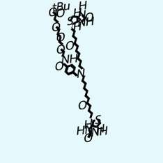 CC(C)(C)OC(=O)CCOCCOCCOCCNC(=O)c1ccc(CN(CCCCCCCC(=O)CCCC[C@@H]2SC[C@@H]3NC(=O)N[C@@H]32)CCCCCCCC(=O)CCCC[C@@H]2SC[C@@H]3NC(=O)N[C@@H]32)cc1